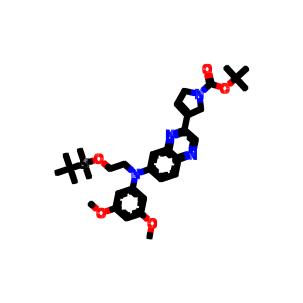 COc1cc(OC)cc(N(CCO[Si](C)(C)C(C)(C)C)c2ccc3ncc(C4=CCN(C(=O)OC(C)(C)C)C4)nc3c2)c1